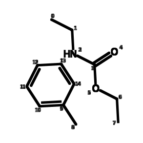 CCNC(=O)OCC.Cc1ccccc1